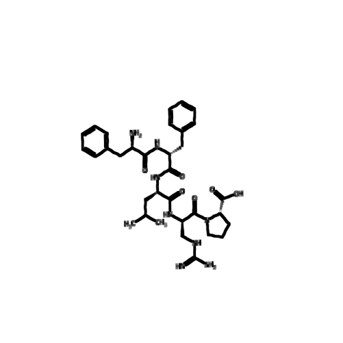 CC(C)C[C@@H](NC(=O)[C@@H](Cc1ccccc1)NC(=O)[C@H](N)Cc1ccccc1)C(=O)N[C@H](CNC(=N)N)C(=O)N1CCC[C@H]1C(=O)O